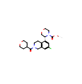 CC(C)(C)OC(=O)N1CCOC[C@@H]1c1cc(Cl)cc2c1CCN(C(=O)C1CCOCC1)C2